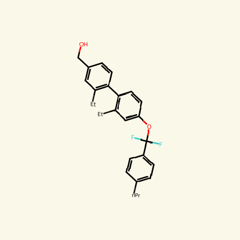 CCCc1ccc(C(F)(F)Oc2ccc(-c3ccc(CO)cc3CC)c(CC)c2)cc1